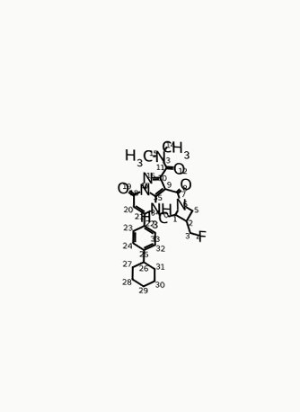 CC1C(CF)CN1C(=O)c1c(C(=O)N(C)C)nn2c(=O)cc(-c3ccc(C4CCCCC4)cc3)[nH]c12